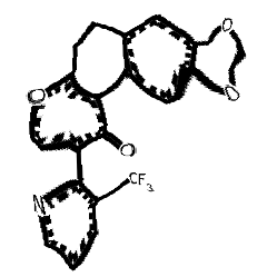 O=c1c(-c2ncccc2C(F)(F)F)coc2c1-c1cc3c(cc1CC2)OCO3